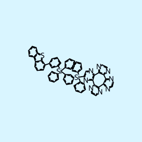 c1ccc([Si](c2ccccc2)(c2cccc(-c3cccc4c3sc3ccccc34)c2)c2cccc([Si](c3ccccc3)(c3ccccc3)c3cnc4c(n3)-c3nccnc3-c3nccnc3-c3nccnc3-4)c2)cc1